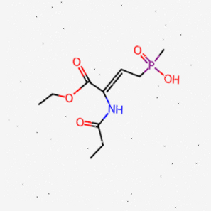 CCOC(=O)/C(=C/CP(C)(=O)O)NC(=O)CC